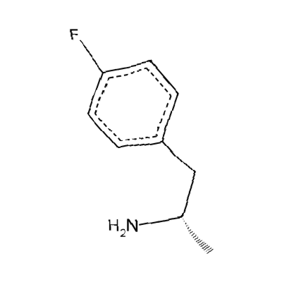 C[C@H](N)Cc1ccc(F)cc1